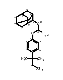 CCC(C)(C)c1ccc(OC(C)OC2C3CC4CC(C3)CC2C4)cc1